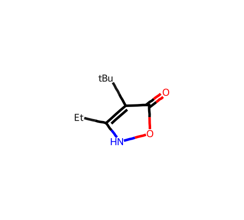 CCc1[nH]oc(=O)c1C(C)(C)C